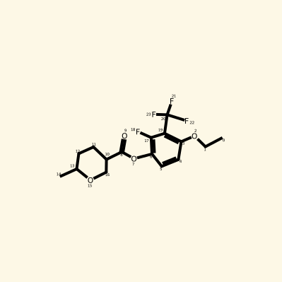 CCOc1ccc(OC(=O)C2CCC(C)OC2)c(F)c1C(F)(F)F